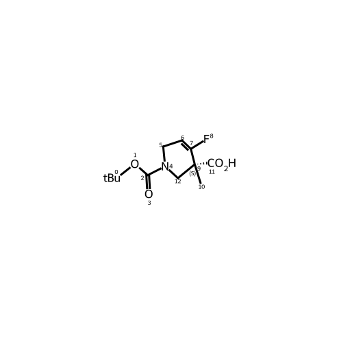 CC(C)(C)OC(=O)N1CC=C(F)[C@](C)(C(=O)O)C1